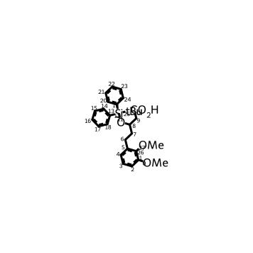 COc1cccc(CCC(CC(=O)O)O[Si](c2ccccc2)(c2ccccc2)C(C)(C)C)c1OC